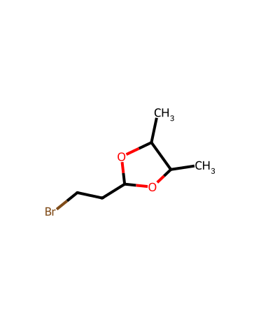 CC1OC(CCBr)OC1C